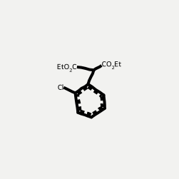 CCOC(=O)C(C(=O)OCC)c1ccccc1Cl